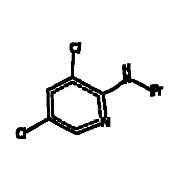 CC(C)Nc1ncc(Cl)cc1Cl